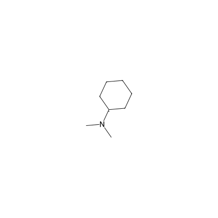 CN(C)[C]1CCCCC1